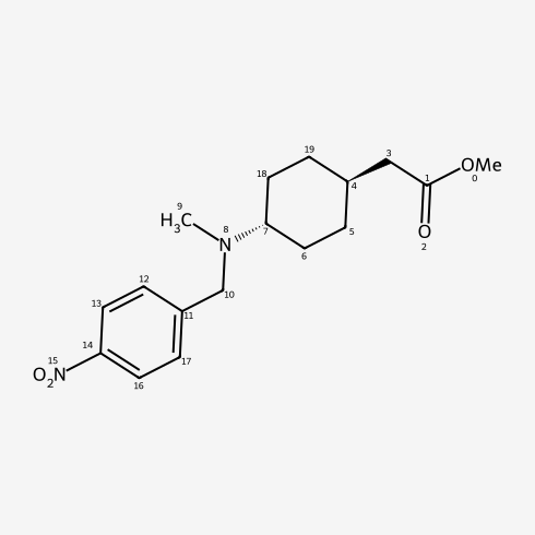 COC(=O)C[C@H]1CC[C@H](N(C)Cc2ccc([N+](=O)[O-])cc2)CC1